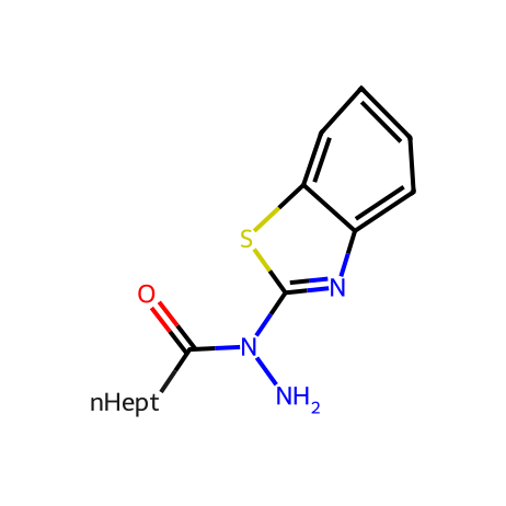 CCCCCCCC(=O)N(N)c1nc2ccccc2s1